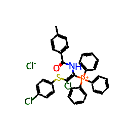 Cc1ccc(C(=O)NC(=C(Cl)Sc2ccc(Cl)cc2)[P+](c2ccccc2)(c2ccccc2)c2ccccc2)cc1.[Cl-]